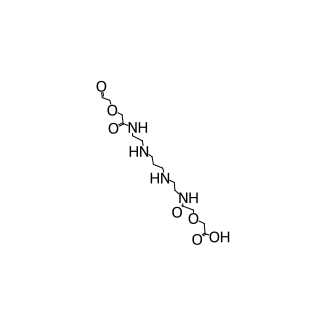 O=CCOCC(=O)NCCNCCCNCCNC(=O)COCC(=O)O